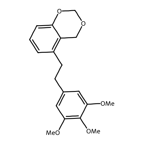 COc1cc(CCc2cccc3c2COCO3)cc(OC)c1OC